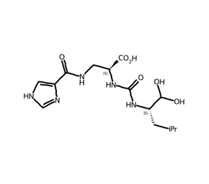 CC(C)C[C@H](NC(=O)N[C@@H](CNC(=O)c1c[nH]cn1)C(=O)O)C(O)O